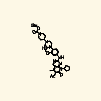 CC(=O)c1c(C)c2cnc(Nc3ccc4c(c3)OC[C@H]3CN(C5CCN(C(=O)OC(C)(C)C)CC5)CCN43)nc2n(C2CCCC2)c1=O